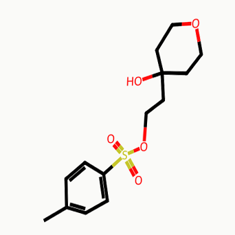 Cc1ccc(S(=O)(=O)OCCC2(O)CCOCC2)cc1